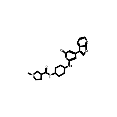 CN1CCC(C(=O)NC2CCC(Nc3cc(-c4c[nH]c5ncccc45)cc(Cl)n3)CC2)C1